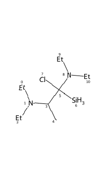 CCN(CC)C(C)C([SiH3])(Cl)N(CC)CC